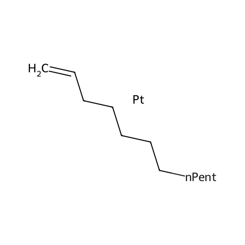 C=CCCCCCCCCCC.[Pt]